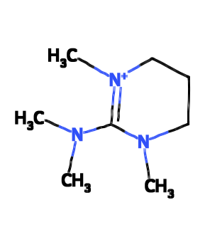 CN(C)C1=[N+](C)CCCN1C